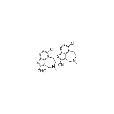 CN1CCc2c(Cl)ccc3sc(C#N)c(c23)C1.CN1CCc2c(Cl)ccc3sc(C=O)c(c23)C1